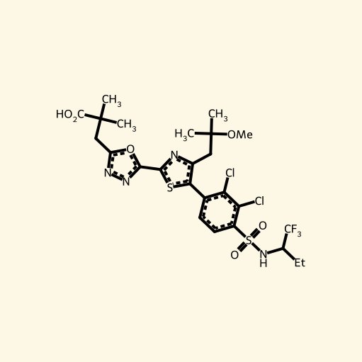 CCC(NS(=O)(=O)c1ccc(-c2sc(-c3nnc(CC(C)(C)C(=O)O)o3)nc2CC(C)(C)OC)c(Cl)c1Cl)C(F)(F)F